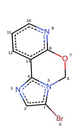 Brc1cnc2n1COc1ncccc1-2